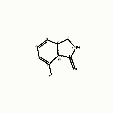 C=C1NCC2C=CC=C(C)C12